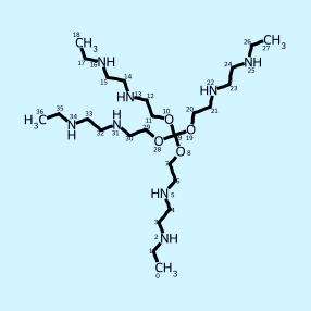 CCNCCNCCOC(OCCNCCNCC)(OCCNCCNCC)OCCNCCNCC